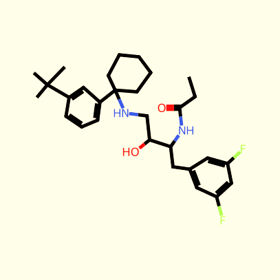 CCC(=O)NC(Cc1cc(F)cc(F)c1)C(O)CNC1(c2cccc(C(C)(C)C)c2)CCCCC1